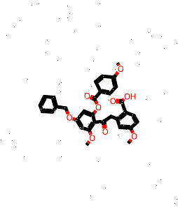 COc1ccc(C(=O)Oc2cc(OCc3ccccc3)cc(OC)c2C(=O)Cc2cc(OC)ccc2C(=O)O)cc1